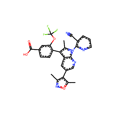 Cc1noc(C)c1-c1cnc2c(c1)c(-c1ccc(C(=O)O)cc1OC(F)(F)F)c(C)n2-c1ncccc1C#N